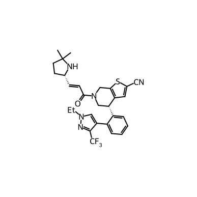 CCn1cc(-c2ccccc2[C@@H]2CN(C(=O)/C=C/[C@@H]3CCC(C)(C)N3)Cc3sc(C#N)cc32)c(C(F)(F)F)n1